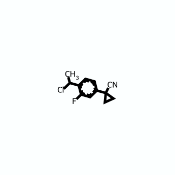 CC(Cl)c1ccc(C2(C#N)CC2)cc1F